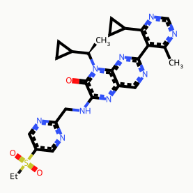 CCS(=O)(=O)c1cnc(CNc2nc3cnc(-c4c(C)ncnc4C4CC4)nc3n([C@H](C)C3CC3)c2=O)nc1